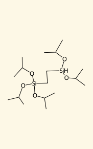 CC(C)O[SiH](CC[Si](OC(C)C)(OC(C)C)OC(C)C)OC(C)C